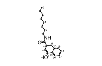 CCCCCCCCNC(=O)c1cc(O)c2ccccc2c1